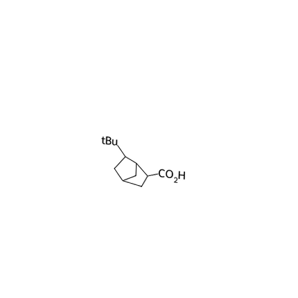 CC(C)(C)C1CC2CC(C(=O)O)C1C2